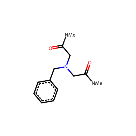 CNC(=O)CN(CC(=O)NC)Cc1ccccc1